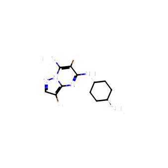 Nc1c(Br)c(N[C@H]2CC[C@H](N)CC2)nc2c(Br)cnn12